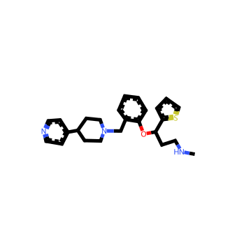 CNCCC(Oc1ccccc1CN1CCC(c2ccncc2)CC1)c1cccs1